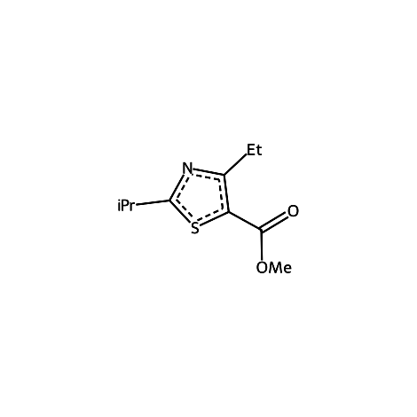 CCc1nc(C(C)C)sc1C(=O)OC